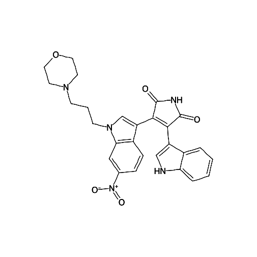 O=C1NC(=O)C(c2cn(CCCN3CCOCC3)c3cc([N+](=O)[O-])ccc23)=C1c1c[nH]c2ccccc12